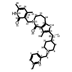 Cc1cccc(CN2CCC([C@@H](C)c3sc4c(c3C)C(=O)N(Cc3c(C)cc(C)[nH]c3=O)CCC4)CC2)n1